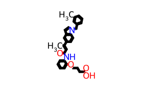 CC(=CC(=O)Nc1ccccc1OCCCC(=O)O)c1ccc2c(ccn2Cc2cccc(C)c2)c1